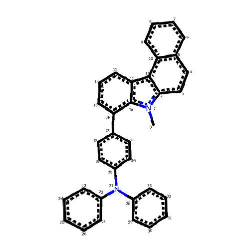 Cn1c2ccc3ccccc3c2c2cccc(-c3ccc(N(c4ccccc4)c4ccccc4)cc3)c21